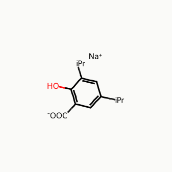 CC(C)c1cc(C(=O)[O-])c(O)c(C(C)C)c1.[Na+]